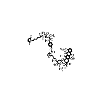 COc1cccc2c1C(=O)c1c(O)c3c(c(O)c1C2=O)C[C@@](O)(C(=O)CO)C[C@@H]3OC1CC(NCCCC2OCCN2C(=O)OCc2ccc(NC(=O)[C@@H](C)NC(=O)[C@H](NC(=O)CCCCCN3C(=O)C=CC3=O)C(C)C)cc2)C(O)C(C)O1